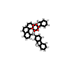 c1ccc2c(c1)ccc1ccc3cccc(N(c4ccc5c(c4)oc4ccccc45)c4ccc5sc6ccccc6c5c4)c3c12